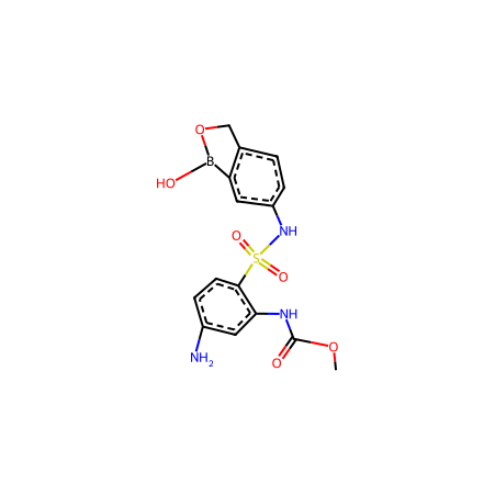 COC(=O)Nc1cc(N)ccc1S(=O)(=O)Nc1ccc2c(c1)B(O)OC2